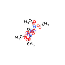 CCCC(=O)OCCN(CCOC(=O)CCC)CC(CN(CC(CN(CCOC(=O)CCC)CCOC(=O)CCC)O[N+](=O)[O-])c1ccccc1)O[N+](=O)[O-]